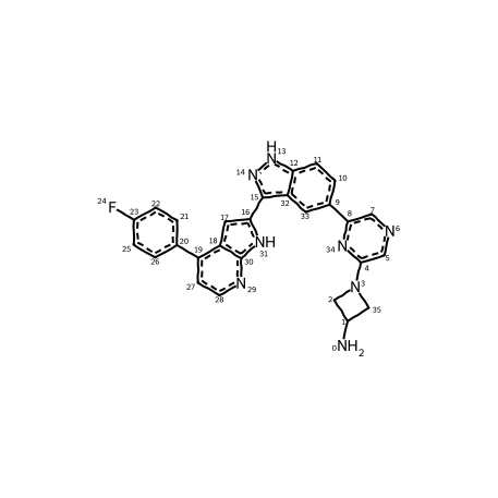 NC1CN(c2cncc(-c3ccc4[nH]nc(-c5cc6c(-c7ccc(F)cc7)ccnc6[nH]5)c4c3)n2)C1